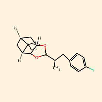 C[C@H](Cc1ccc(F)cc1)B1OC2[C@H]3C[C@@H](C[C@H]2O1)C3(C)C